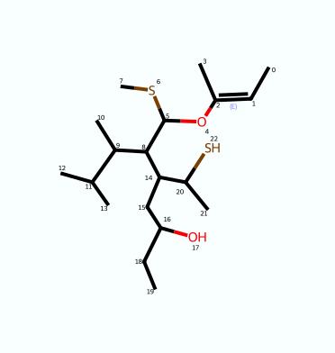 C/C=C(\C)OC(SC)C(C(C)C(C)C)C(CC(O)CC)C(C)S